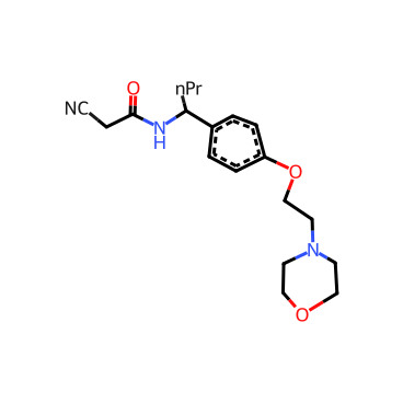 CCCC(NC(=O)CC#N)c1ccc(OCCN2CCOCC2)cc1